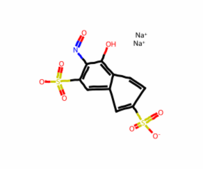 O=Nc1c(S(=O)(=O)[O-])cc2cc(S(=O)(=O)[O-])ccc2c1O.[Na+].[Na+]